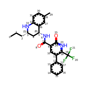 CCC[C@H]1C[C@@H](NC(=O)c2cc(-c3ccccc3)c(C(F)(F)F)[nH]c2=O)c2cc(C)ccc2N1